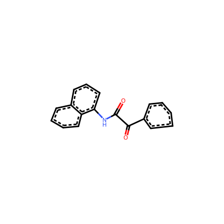 O=C(Nc1cccc2ccccc12)C(=O)c1ccccc1